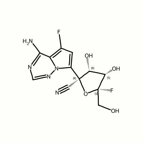 N#C[C@@]1(c2cc(F)c3c(N)ncnn23)O[C@](F)(CO)[C@@H](O)[C@H]1O